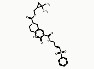 CC1(C)CC1COC(=O)N1CCc2[nH]c(=O)c(C(=O)NC/C=C/S(=O)(=O)c3ccccc3)cc2C1